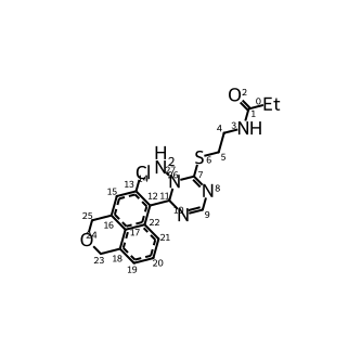 CCC(=O)NCCSC1=NC=NC(c2c(Cl)cc3c4c(cccc24)COC3)N1N